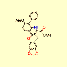 COC(=O)c1[nH]c2c(-c3ccccc3)c(OC)ccc2c(=O)c1Cc1ccc2c(c1)OCO2